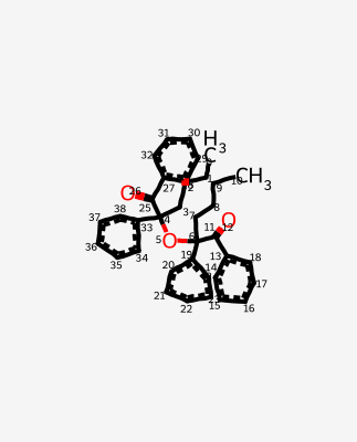 CCCCC(OC(CCCC)(C(=O)c1ccccc1)c1ccccc1)(C(=O)c1ccccc1)c1ccccc1